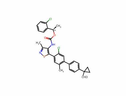 Cc1cc(-c2snc(C)c2NC(=O)O[C@H](C)c2ccccc2Cl)c(Cl)cc1-c1ccc(C2(C=O)CC2)cc1